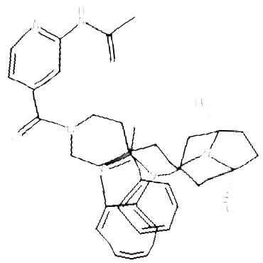 CC(=O)Nc1cc(C(=O)N2CCC(CCN3[C@@H]4CC[C@H]3CC(n3c(C)nc5ccccc53)C4)(c3ccccc3)CC2)ccn1